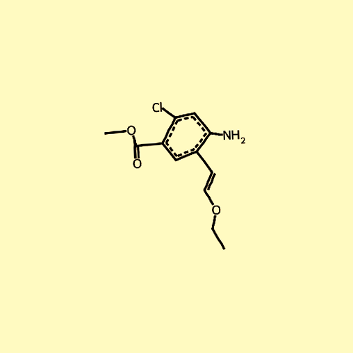 CCO/C=C/c1cc(C(=O)OC)c(Cl)cc1N